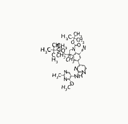 COc1nc(C)ncc1Nc1nccc(-c2cc(C#N)c3c(c2)[C@@](C)(CO[Si](C)(C)C(C)(C)C)CN3C(=O)OC(C)(C)C)n1